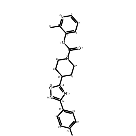 Cc1ncccc1OC(=O)N1CCC(c2nc(-c3ccc(F)cc3)no2)CC1